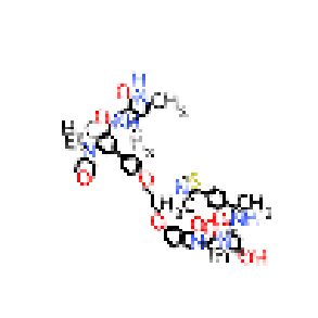 CCN(c1cc(-c2ccc(OCCCCOc3ccc4c(c3)C(=O)N([C@@H](C(=O)N3C[C@H](O)C[C@H]3C(=O)N[C@@H](C)c3ccc(-c5scnc5C)cc3)C(C)C)C4)cc2)cc(C(=O)NCc2c(C)cc(C)[nH]c2=O)c1C)C1CCOCC1